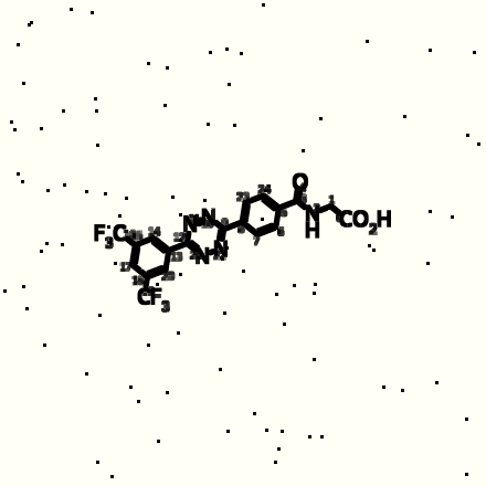 O=C(O)CNC(=O)c1ccc(-c2nnc(-c3cc(C(F)(F)F)cc(C(F)(F)F)c3)nn2)cc1